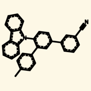 Cc1ccc(-c2cc(-c3cccc(C#N)c3)ccc2-n2c3ccccc3c3ccccc32)cc1